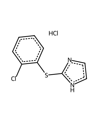 Cl.Clc1ccccc1Sc1ncc[nH]1